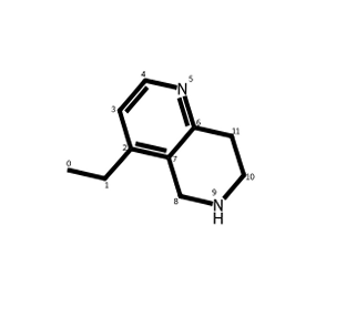 CCc1ccnc2c1CNCC2